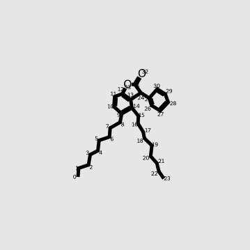 CCCCCCCCCc1ccc2c(c1CCCCCCCCC)C(c1ccccc1)C(=O)O2